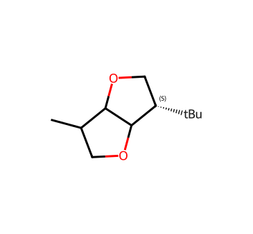 CC1COC2C1OC[C@@H]2C(C)(C)C